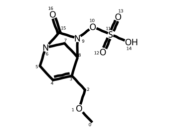 COCC1=CCN2CC1N(OS(=O)(=O)O)C2=O